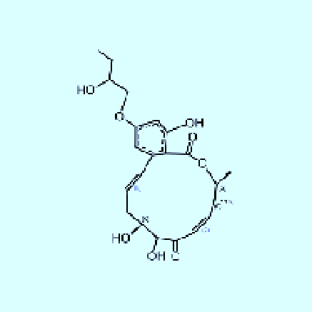 CCC(O)COc1cc(O)c2c(c1)/C=C/C[C@H](O)C(O)C(=O)/C=C\[C@@H](C)[C@H](C)OC2=O